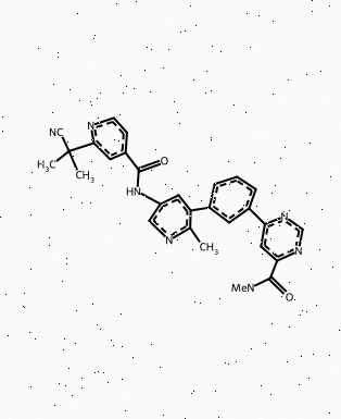 CNC(=O)c1cc(-c2cccc(-c3cc(NC(=O)c4ccnc(C(C)(C)C#N)c4)cnc3C)c2)ncn1